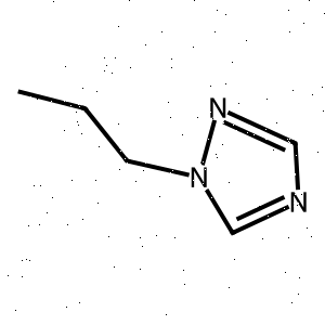 CCCn1cncn1